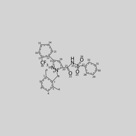 Cc1cccc(C)c1Cn1nc(-c2ccccc2C(F)(F)F)cc1C(=O)NS(=O)(=O)c1ccccc1